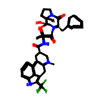 CN1C[C@H](C(=O)N[C@]2(C)O[C@@]3(O)[C@@H]4CCCN4C(=O)[C@H](Cc4ccccc4)N3C2=O)CC2c3cccc4[nH]c(C(F)(F)F)c(c34)CC21